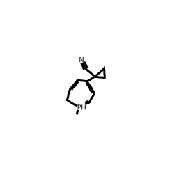 C[PH]1=CC=C(C2(C#N)CC2)C=CC1